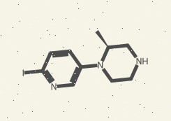 C[C@H]1CNCCN1c1ccc(I)nc1